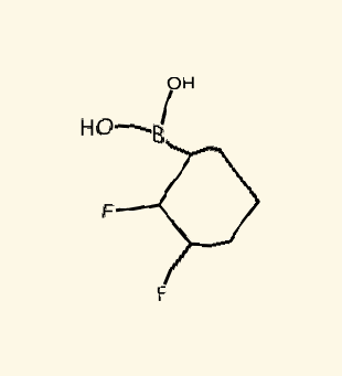 OB(O)C1CCCC(F)C1F